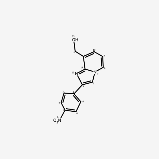 O=[N+]([O-])c1ccc(-c2cn3cccc(CO)c3n2)cc1